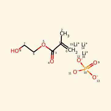 C=C(C)C(=O)OCCO.O=P([O-])([O-])[O-].[Li+].[Li+].[Li+]